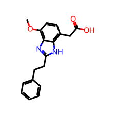 COc1ccc(CC(=O)O)c2[nH]c(CCc3ccccc3)nc12